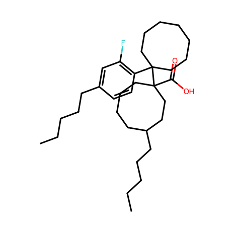 CCCCCc1ccc(C2(C3(C(=O)O)CCCCC(CCCCC)CC3)CCCCCCC2)c(F)c1